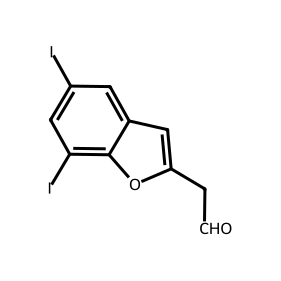 O=CCc1cc2cc(I)cc(I)c2o1